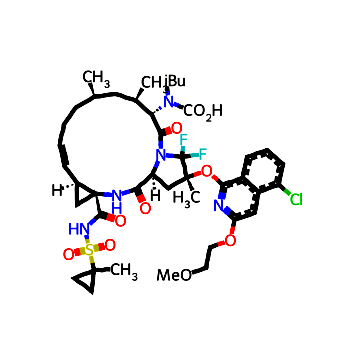 CCC(C)N(C(=O)O)[C@@H]1C(=O)N2[C@@H](C[C@@](C)(Oc3nc(OCCOC)cc4c(Cl)cccc34)C2(F)F)C(=O)N[C@]2(C(=O)NS(=O)(=O)C3(C)CC3)C[C@H]2/C=C\CC[C@@H](C)C[C@H]1C